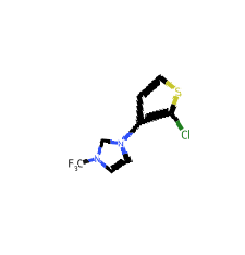 FC(F)(F)N1C=CN(c2ccsc2Cl)C1